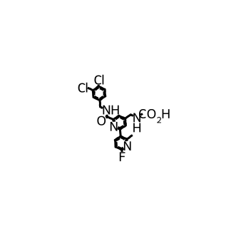 Cc1nc(F)ccc1-c1cc(CNC(=O)O)cc(C(=O)NCc2ccc(Cl)c(Cl)c2)n1